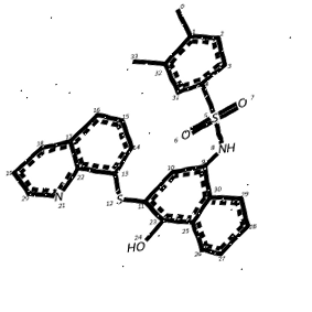 Cc1ccc(S(=O)(=O)Nc2cc(Sc3cccc4cccnc34)c(O)c3ccccc23)cc1C